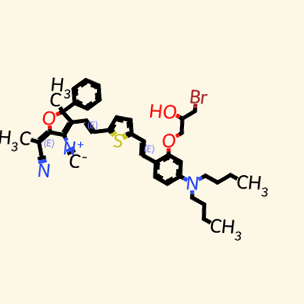 [C-]#[N+]C1=C(/C=C/c2ccc(/C=C/c3ccc(N(CCCC)CCCC)cc3OCC(O)CBr)s2)C(C)(c2ccccc2)O/C1=C(\C)C#N